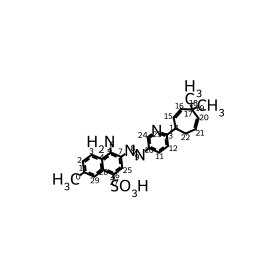 Cc1ccc2c(N)c(/N=N/c3ccc(C4C=CC(C)(C)C=CC4)nc3)cc(S(=O)(=O)O)c2c1